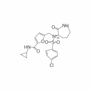 O=C(NC1CC1)c1ccc(CN([C@@H]2CCCCNC2=O)S(=O)(=O)c2ccc(Cl)cc2)o1